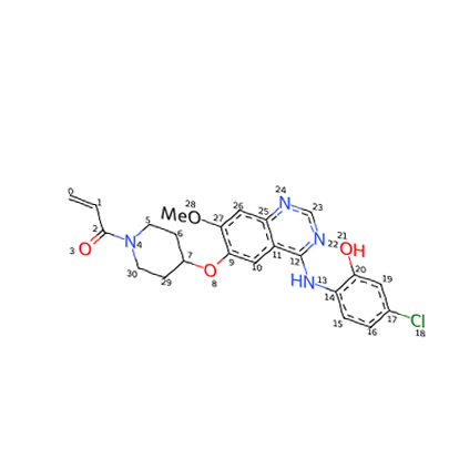 C=CC(=O)N1CCC(Oc2cc3c(Nc4ccc(Cl)cc4O)ncnc3cc2OC)CC1